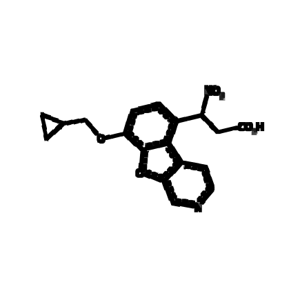 O=C(O)CC(c1ccc(OCC2CC2)c2oc3cnccc3c12)[N+](=O)[O-]